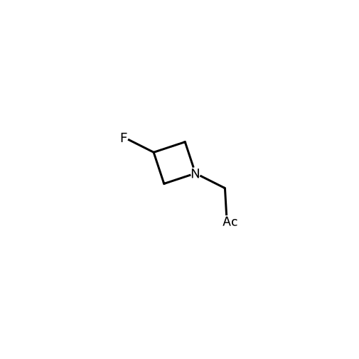 CC(=O)CN1CC(F)C1